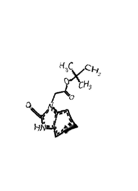 CC(C)(C)OC(=O)Cn1c(=O)[nH]c2ccccc21